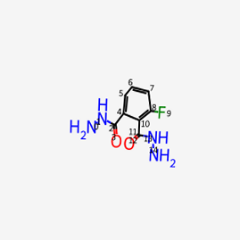 NNC(=O)c1cccc(F)c1C(=O)NN